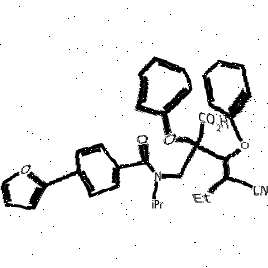 CCC(C#N)C(Oc1ccccc1)C(CN(C(=O)c1ccc(-c2ccco2)cc1)C(C)C)(Oc1ccccc1)C(=O)O